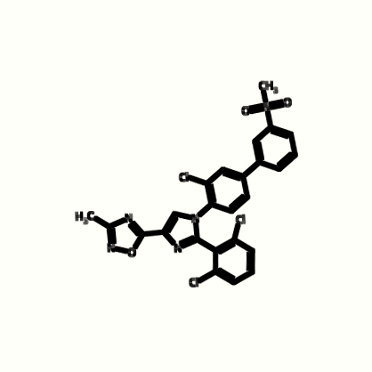 Cc1noc(-c2cn(-c3ccc(-c4cccc(S(C)(=O)=O)c4)cc3Cl)c(-c3c(Cl)cccc3Cl)n2)n1